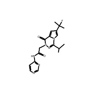 CC(C)c1nn(CC(=O)Nc2ccncn2)c(=O)c2cc(C(C)(C)F)cn12